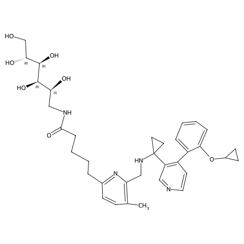 Cc1ccc(CCCCC(=O)NC[C@H](O)[C@@H](O)[C@H](O)[C@H](O)CO)nc1CNC1(c2cnccc2-c2ccccc2OC2CC2)CC1